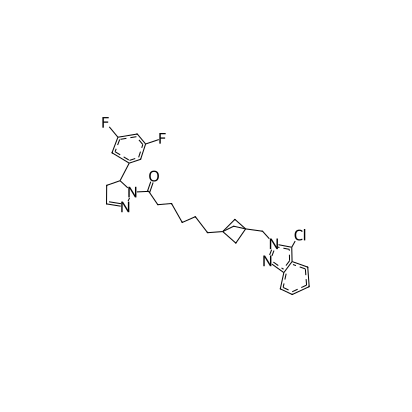 O=C(CCCCCC12CC(Cn3nc4ccccc4c3Cl)(C1)C2)N1N=CCC1c1cc(F)cc(F)c1